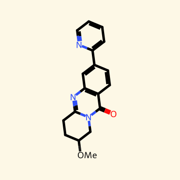 COC1CCc2nc3cc(-c4ccccn4)ccc3c(=O)n2C1